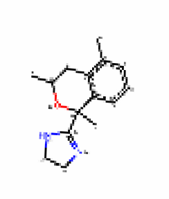 Cc1cccc2c1CC(C)OC2(C)C1=NCCN1